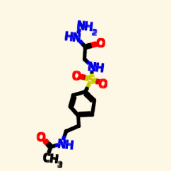 CC(=O)NCCc1ccc(S(=O)(=O)NCC(=O)NN)cc1